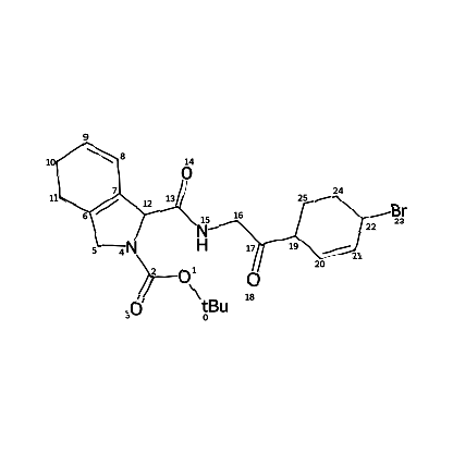 CC(C)(C)OC(=O)N1CC2=C(C=CCC2)C1C(=O)NCC(=O)C1C=CC(Br)CC1